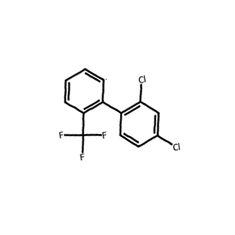 FC(F)(F)c1ccc[c]c1-c1ccc(Cl)cc1Cl